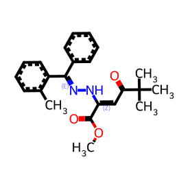 COC(=O)/C(=C/C(=O)C(C)(C)C)N/N=C(\c1ccccc1)c1ccccc1C